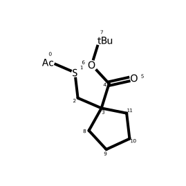 CC(=O)SCC1(C(=O)OC(C)(C)C)CCCC1